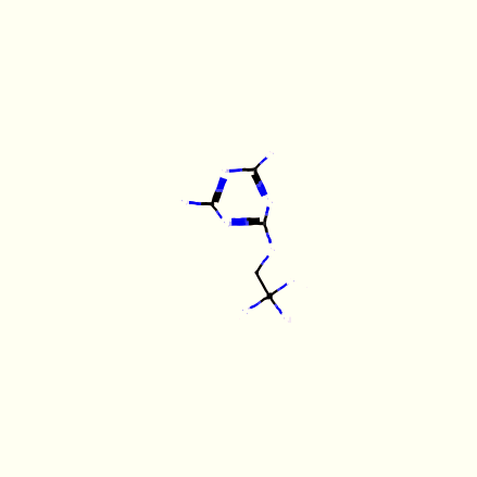 Nc1nc(N)nc(NCC(N)(N)N)n1